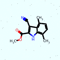 COC(=O)c1[nH]c2c(C)ccc(C)c2c1C#N